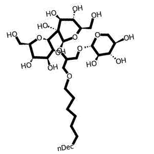 CCCCCCCCCCCCCCCCOCC(CO[C@@H]1OC[C@@H](O)[C@H](O)[C@H]1O)O[C@@H]1O[C@H](CO)[C@@H](O)[C@H](O)[C@]1(O)[C@H]1O[C@H](CO)[C@@H](O)[C@H](O)[C@H]1O